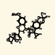 COc1ccc2c(c1)OC(C(=O)NC1(C(F)(F)F)COC1)CC2NC(=O)C1(c2ccc3c(c2)OC(F)(F)O3)CC1